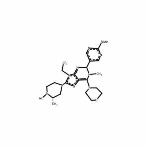 CNc1ncc(C2N=c3c(nc(N4CCN(C(C)=O)[C@@H](C)C4)n3CC(F)(F)F)=C(N3CCOCC3)N2C)cn1